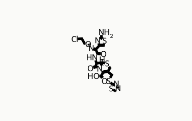 Nc1nc(C(=NOCCCl)C(=O)NC2C(=O)N3C(C(=O)O)=C(CSc4nncs4)CS[C@@H]23)cs1